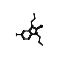 CCCn1c(=O)n(CCC)c2cc(I)ccc21